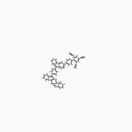 N#Cc1cc(C#N)c(-c2ccc(-c3cc4c5ccccc5n(-c5ccc(-n6c7ccccc7c7cc8oc9ccccc9c8cc76)cc5)c4cn3)cc2)c(C#N)c1